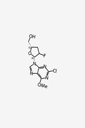 COc1nc(Cl)nc2c1ncn2[C@@H]1O[C@H](CO)CC1F